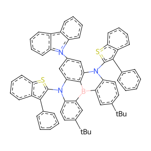 CC(C)(C)c1ccc2c(c1)B1c3cc(C(C)(C)C)ccc3N(c3sc4ccccc4c3-c3ccccc3)c3cc(-n4c5ccccc5c5ccccc54)cc(c31)N2c1sc2ccccc2c1-c1ccccc1